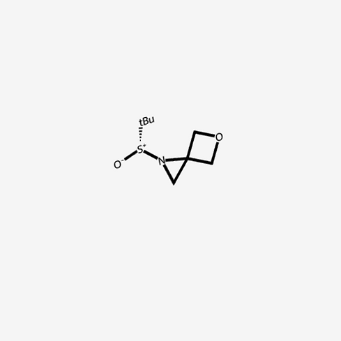 CC(C)(C)[S@@+]([O-])N1CC12COC2